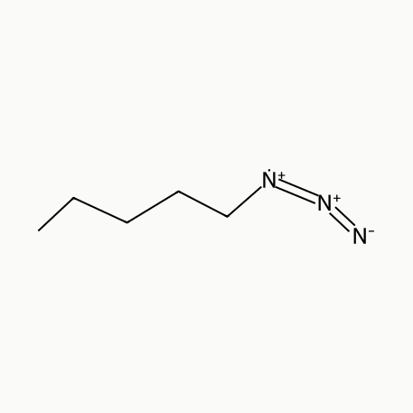 CCCCC[N+]=[N+]=[N-]